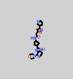 O=C(Cc1cc(-c2cccnc2)no1)Nc1ccc(-c2nc3c(N4CCOCC4)nccc3[nH]2)cc1